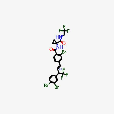 O=C(NC1(C(=O)NCC(F)(F)F)CC1)c1ccc(/C=C/C(c2ccc(Br)c(Br)c2)C(F)(F)F)cc1Br